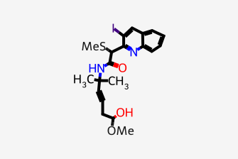 COC(O)CC#CC(C)(C)NC(=O)C(SC)c1nc2ccccc2cc1I